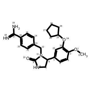 COc1ccc(C2CNC(=O)N2Cc2ccc(C(=N)N)cc2)cc1OC1CCCC1